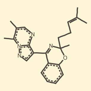 CC(C)=CCCC1(C)N=C(c2cnn3c(C)c(C)cnc23)c2ccccc2O1